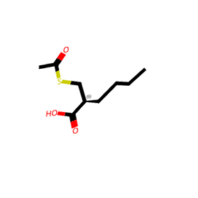 CCCC[C@H](CSC(C)=O)C(=O)O